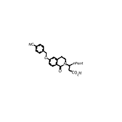 CCCCCC(CC(=O)O)N1CCc2cc(OCc3ccc(C#N)cc3)ccc2C1=O